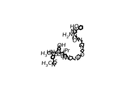 Cc1ncsc1-c1ccc([C@H](C)NC(=O)C2C[C@@H](O)CN2C(=O)[C@@H](c2cc(N3CCC(CN4CCC(O[C@H]5C[C@H](N6CCC(CN7CC8(C7)CN(c7cc(-c9ccccc9O)nnc7N)CCO8)CC6)C5)CC4)CC3)no2)C(C)C)cc1